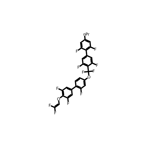 CCCc1cc(F)c(-c2cc(F)c(C(F)(F)Oc3ccc(-c4cc(F)c(OC=C(F)F)c(F)c4)c(F)c3)c(F)c2)c(F)c1